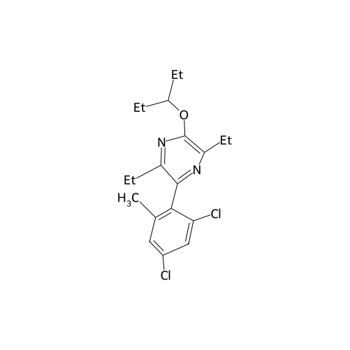 CCc1nc(-c2c(C)cc(Cl)cc2Cl)c(CC)nc1OC(CC)CC